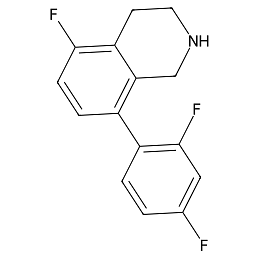 Fc1ccc(-c2ccc(F)c3c2CNCC3)c(F)c1